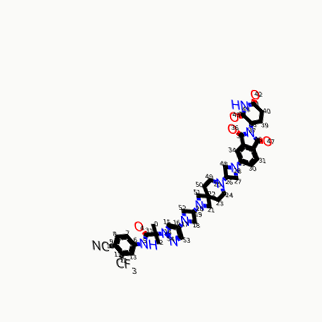 CC(C)(C(=O)Nc1ccc(C#N)c(C(F)(F)F)c1)n1cc(N2CC(N3CC4(CCN(C5CN(c6ccc7c(c6)C(=O)N(C6CCC(=O)NC6=O)C7=O)C5)CC4)C3)C2)cn1